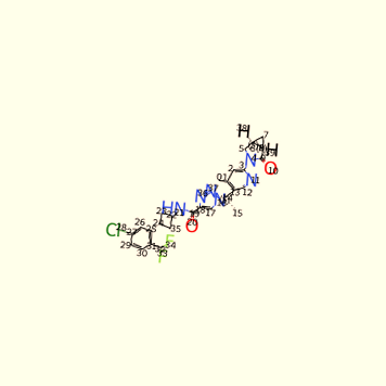 Cc1cc(N2C[C@H]3C[C@H]3C2=O)ncc1[C@H](C)n1cc(C(=O)N[C@H]2C[C@@H](c3cc(Cl)ccc3C(F)F)C2)nn1